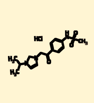 CC(C)N1C=CN(CC(=O)c2ccc(NS(C)(=O)=O)cc2)C1.Cl